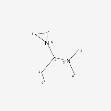 CCC(N(C)C)N1CC1